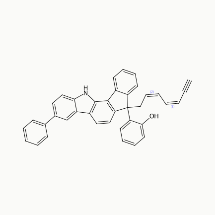 C#C/C=C\C=C/CC1(c2ccccc2O)c2ccccc2-c2c1ccc1c2[nH]c2ccc(-c3ccccc3)cc21